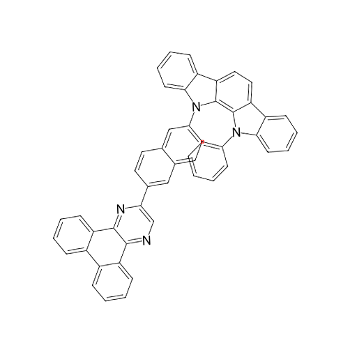 c1ccc(-n2c3ccccc3c3ccc4c5ccccc5n(-c5ccc6cc(-c7cnc8c9ccccc9c9ccccc9c8n7)ccc6c5)c4c32)cc1